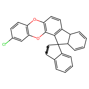 Clc1ccc2c(c1)Oc1c(ccc3c1C1(c4ccccc4-c4ccccc41)C1C=CC=CC31)O2